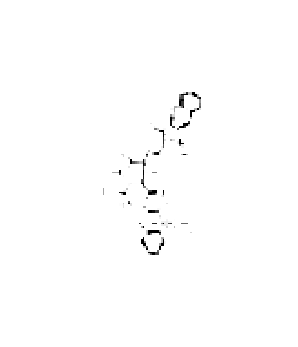 CNC(=O)[C@H](Cc1ccccc1)NC(=O)[C@H](CC(C)C)NC(CCN1C(=O)c2cc3ccccc3nc2C1=O)C(=O)O